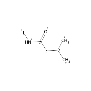 CC(C)CC(=O)NI